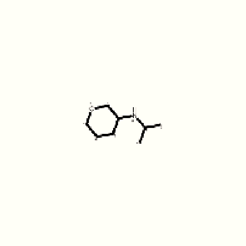 CC(C)NC1CCCOC1